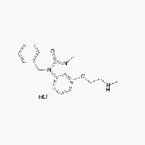 CNCCOc1cccc2c1n(C)c(=O)n2Cc1ccccc1.Cl